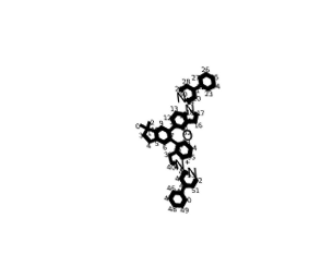 CC1(C)C=Cc2cc3c(cc21)-c1ccc2c(ccn2-c2cc(-c4ccccc4)ccn2)c1Oc1ccc2c(c1-3)CC=[N+]2c1cc(-c2ccccc2)ccn1